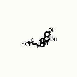 C[C@H](CCC(=O)C(C)(C)O)[C@H]1CC[C@H]2[C@@H]3C[C@H](O)[C@@H]4C[C@H](O)CC[C@]4(C)[C@H]3CC[C@]12C